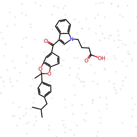 CC(C)Cc1ccc(C2(C)Oc3ccc(C(=O)c4cn(CCCC(=O)O)c5ccccc45)cc3O2)cc1